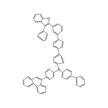 c1ccc(-c2ccc(N(c3ccc(-c4ccc(-c5cccc(-c6oc7ccccc7c6-c6ccccc6)c5)cc4)cc3)c3ccc(-c4cc5ccccc5c5ccccc45)cc3)cc2)cc1